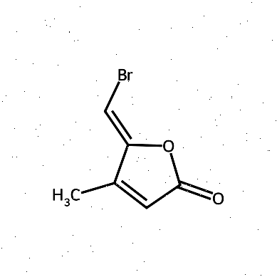 CC1=CC(=O)O/C1=C\Br